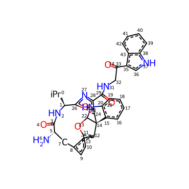 CC(C)[C@@H]1NC(=O)[C@@H](N)Cc2ccc3c(c2)[C@@]2(c4ccccc4NC2O3)c2oc1nc2C(=O)NCC(=O)c1c[nH]c2ccccc12